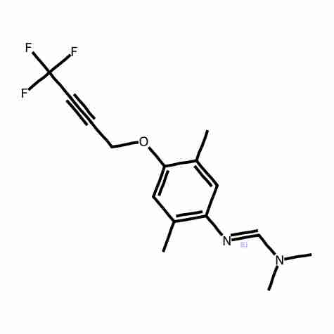 Cc1cc(OCC#CC(F)(F)F)c(C)cc1/N=C/N(C)C